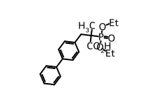 CCOP(=O)(OCC)C(C)(Cc1ccc(-c2ccccc2)cc1)C(=O)O